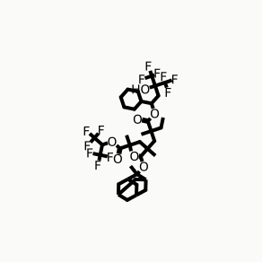 CCC(C)(CC(C)(CC(C)(C)C(=O)OC(C(F)(F)F)C(F)(F)F)C(=O)OC1(C)C2CC3CC(C2)CC1C3)C(=O)OC(CC(O)(C(F)(F)F)C(F)(F)F)C1CCCCC1